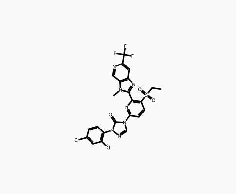 CCS(=O)(=O)c1ccc(-n2cnn(-c3ccc(Cl)cc3Cl)c2=O)nc1-c1nc2cc(C(F)(F)F)ncc2n1C